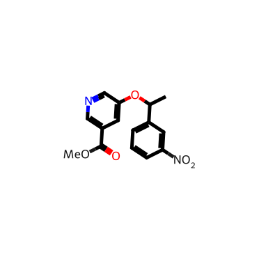 COC(=O)c1cncc(OC(C)c2cccc([N+](=O)[O-])c2)c1